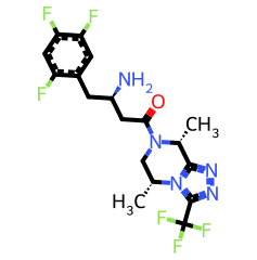 C[C@@H]1c2nnc(C(F)(F)F)n2[C@H](C)CN1C(=O)C[C@H](N)Cc1cc(F)c(F)cc1F